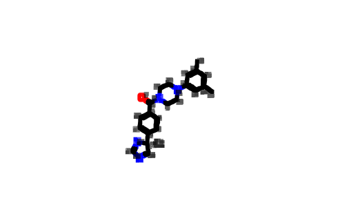 CC[C@]1(c2ccc(C(=O)N3CCN(c4cc(C)cc(C)c4)CC3)cc2)C=NC=N1